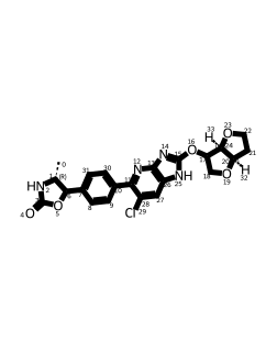 C[C@H]1NC(=O)OC1c1ccc(-c2nc3nc(OC4CO[C@@H]5CCO[C@H]45)[nH]c3cc2Cl)cc1